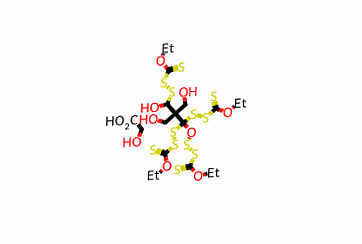 CCOC(=S)SSOC(SSC(=S)OCC)(SSC(=S)OCC)C(CO)(CO)C(O)SSC(=S)OCC.O=C(O)CO